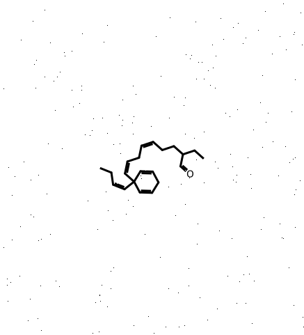 CC/C=C\C1(/C=C\C/C=C\CCC(C=O)CC)C=CCC=C1